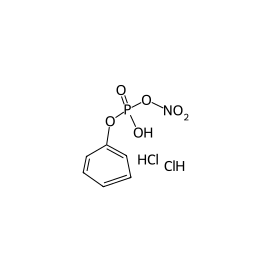 Cl.Cl.O=[N+]([O-])OP(=O)(O)Oc1ccccc1